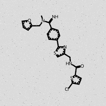 CN(Cc1ccco1)C(=N)c1ccc(-c2nc(CNC(=O)c3ccc(Cl)s3)cs2)cc1